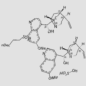 C=C[C@H]1C[N@]2CC[C@H]1C[C@H]2[C@H](O)c1ccnc2ccc(OC)cc12.C=C[C@H]1C[N@]2CC[C@H]1C[C@H]2[C@H](O)c1ccnc2ccc(OC)cc12.CCCCCCCCCCCCS(=O)(=O)O.O=S(=O)(O)O